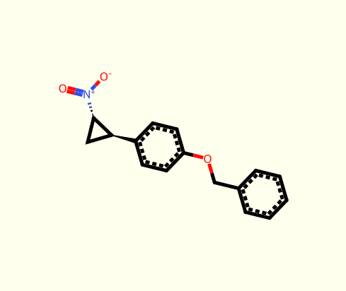 O=[N+]([O-])[C@H]1C[C@@H]1c1ccc(OCc2ccccc2)cc1